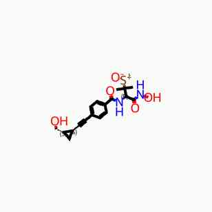 C[S+]([O-])C(C)(C)[C@H](NC(=O)c1ccc(C#C[C@H]2C[C@@H]2CO)cc1)C(=O)NO